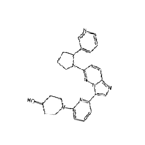 OC1CCN(c2cccc(-c3cnc4ccc(N5CCCC5c5cccnc5)nn34)n2)CC1